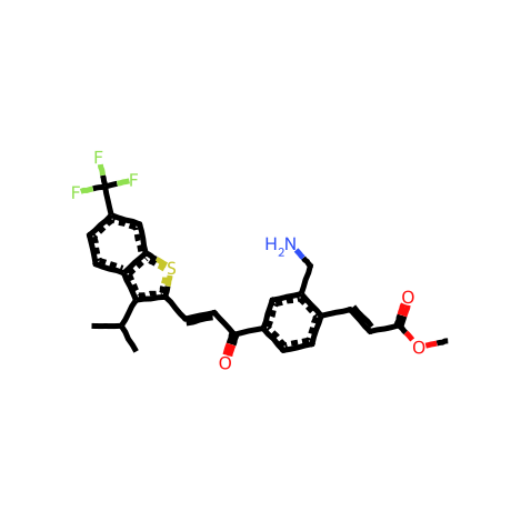 COC(=O)C=Cc1ccc(C(=O)C=Cc2sc3cc(C(F)(F)F)ccc3c2C(C)C)cc1CN